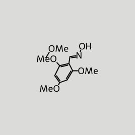 COC.COc1cc(OC)c(C=NO)c(OC)c1